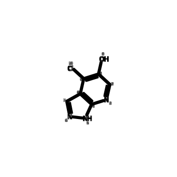 Oc1cnc2[nH]ncc2c1Cl